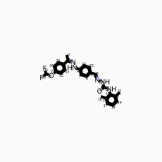 C/C(=N/Nc1ccc(/C=N/NC(=O)Nc2c(C)cccc2C)cc1)c1ccc(OC(F)F)cc1